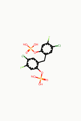 O=P(O)(O)Oc1cc(F)c(Cl)cc1Cc1cc(Cl)c(F)cc1OP(=O)(O)O